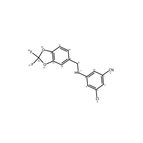 N#Cc1cc(Cl)cc(NCc2ccc3c(c2)OC(F)(F)O3)c1